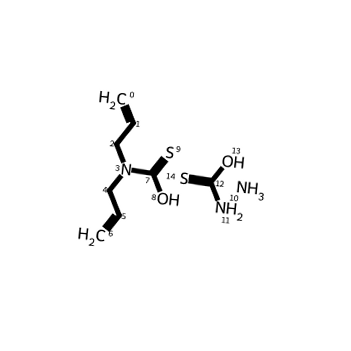 C=CCN(CC=C)C(O)=S.N.NC(O)=S